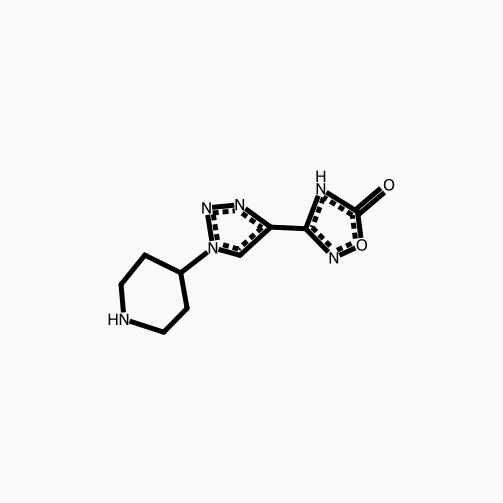 O=c1[nH]c(-c2cn(C3CCNCC3)nn2)no1